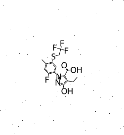 CCc1c(O)nn(-c2cc(SCC(F)(F)F)c(C)cc2F)c1C(=O)O